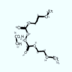 CCOCCOC(=O)OOC(=O)OCCOCC.O=C(O)O